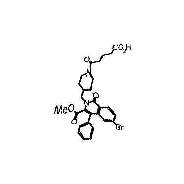 COC(=O)c1c(-c2ccccc2)c2cc(Br)ccc2c(=O)n1CC1CCN(C(=O)CCCC(=O)O)CC1